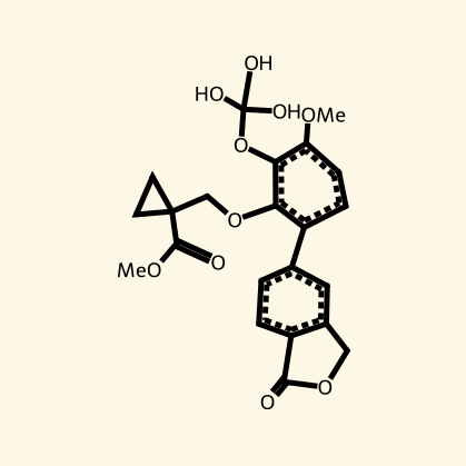 COC(=O)C1(COc2c(-c3ccc4c(c3)COC4=O)ccc(OC)c2OC(O)(O)O)CC1